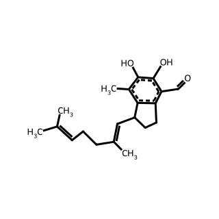 CC(C)=CCC/C(C)=C/C1CCc2c(C=O)c(O)c(O)c(C)c21